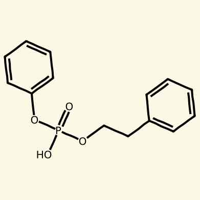 O=P(O)(OCCc1ccccc1)Oc1ccccc1